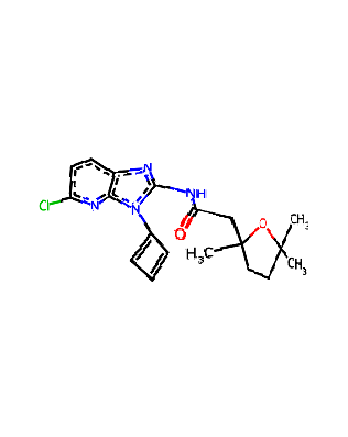 CC1(C)CCC(C)(CC(=O)Nc2nc3ccc(Cl)nc3n2C2=CC=C2)O1